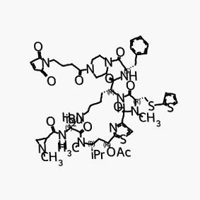 CC[C@H](C)[C@H](NC(=O)C1CN1C)C(=O)N(C)[C@H](C[C@@H](OC(C)=O)c1nc(C(=O)N(C)[C@@H](CSc2cccs2)C(=O)N[C@H](CCCCN)C(=O)N[C@@H](Cc2ccccc2)C(=O)N2CCN(C(=O)CCCN3C(=O)C=CC3=O)CC2)cs1)C(C)C